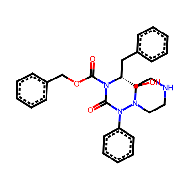 O=C(OCc1ccccc1)N(C(=O)N(c1ccccc1)N1CCNCC1)[C@@H](CO)Cc1ccccc1